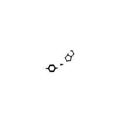 C[C@@H]1CO[C@@H]2C[C@H](OC(=O)Oc3ccc([N+](=O)[O-])cc3)C[C@H]12